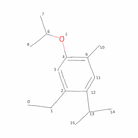 CCc1cc(OC(C)C)c(C)cc1C(C)C